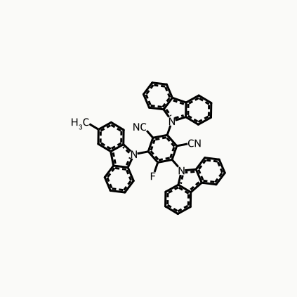 Cc1ccc2c(c1)c1ccccc1n2-c1c(F)c(-n2c3ccccc3c3ccccc32)c(C#N)c(-n2c3ccccc3c3ccccc32)c1C#N